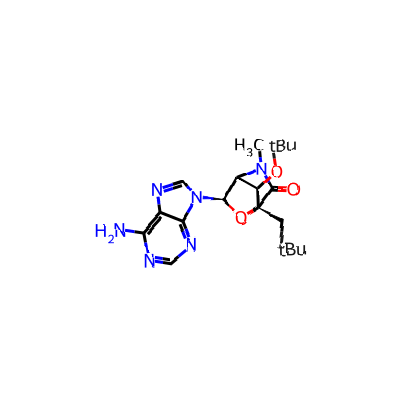 CN1C(=O)[C@]2(CC(C)(C)C)O[C@@H](n3cnc4c(N)ncnc43)C1C2OC(C)(C)C